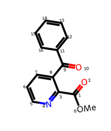 COC(=O)c1ncccc1C(=O)c1ccccc1